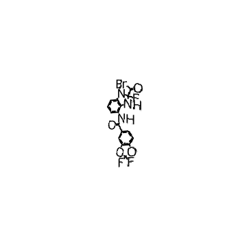 CN1c2cccc(NC(=O)c3ccc4c(c3)OC(F)(F)O4)c2NC1(F)C(=O)Br